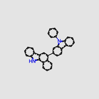 c1ccc(-n2c3ccccc3c3ccc(-c4cc5c6ccccc6[nH]c5c5ccccc45)cc32)cc1